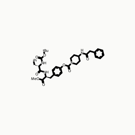 COC(=O)[C@H](Cc1ccc(OC(=O)N2CCC(NC(=O)Cc3ccccc3)CC2)cc1)NC(=O)[C@H](CC(C)C)NC(=O)OC(C)(C)C